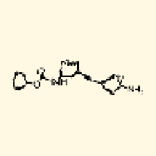 Nc1ncc(C#Cc2cncc(NC(=O)Oc3ccccc3)c2)cn1